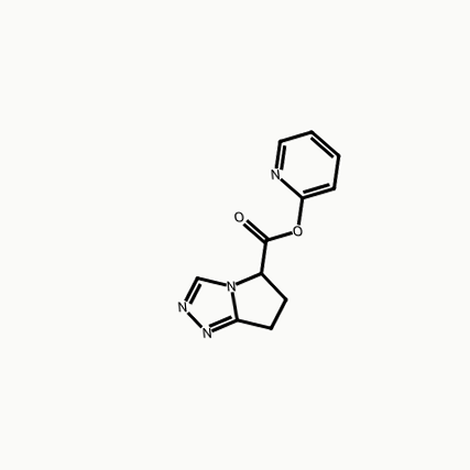 O=C(Oc1ccccn1)C1CCc2nncn21